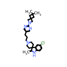 C=C1Nc2ccc(Cl)cc2C12CCN(CCCc1cnc(N3CC4(C3)CC(C)(C)C4)nc1)CC2